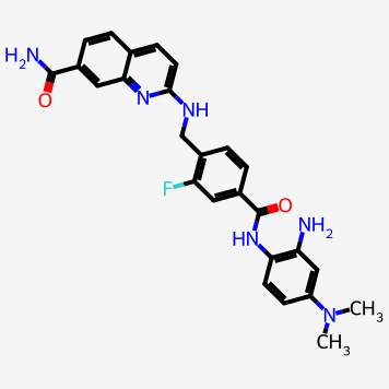 CN(C)c1ccc(NC(=O)c2ccc(CNc3ccc4ccc(C(N)=O)cc4n3)c(F)c2)c(N)c1